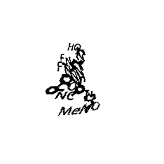 CNC(=O)C1CCN(Cc2cc(C#N)c3oc(C4(Nc5nc(C(F)F)nc6cc(CN7CCC(O)C7)cnc56)C=CC=C(c5ccccc5C)C4C)nc3c2)CC1